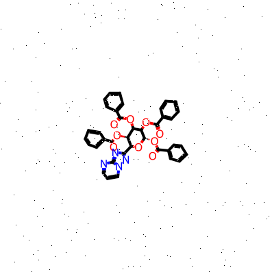 O=C(OC1C(OC(=O)c2ccccc2)[C@H](OC(=O)c2ccccc2)C(c2nc3ncccn3n2)O[C@H]1OC(=O)c1ccccc1)c1ccccc1